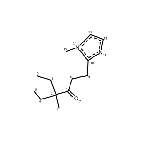 CCC(C)(CC)C(=O)CCc1nccn1C